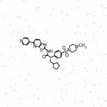 CN1CCN(S(=O)(=O)c2ccc([C@@H](CC3CCCC3)C(=O)Nc3nc4ccc(-c5ccncc5)nc4s3)cc2)CC1